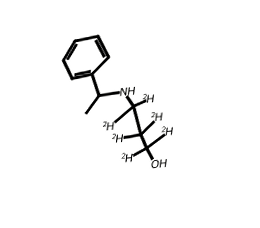 [2H]C([2H])(O)C([2H])([2H])C([2H])([2H])NC(C)c1ccccc1